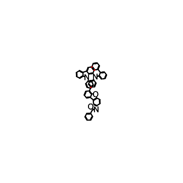 c1ccc(-c2nc3ccc4oc5c(-c6ccc(N(c7ccccc7-c7ccccc7)c7cccc8c9ccccc9n(-c9ccccc9)c78)cc6)cccc5c4c3o2)cc1